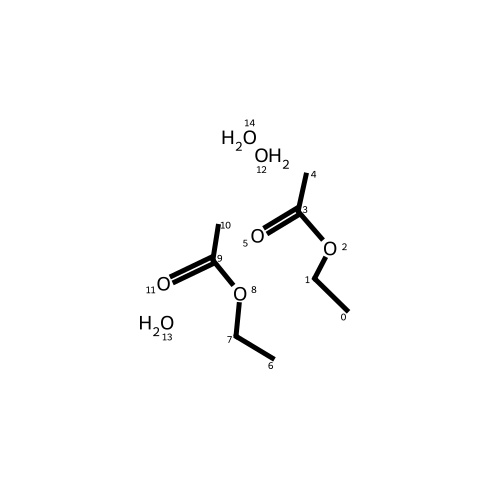 CCOC(C)=O.CCOC(C)=O.O.O.O